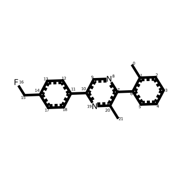 Cc1ccccc1-c1ncc(-c2ccc(CF)cc2)nc1C